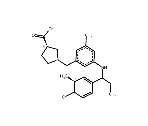 CCC(Nc1cc(C)cc(CN2CC[C@@H](C(=O)O)C2)c1)C1=C[C@H](C)C(Cl)C=C1